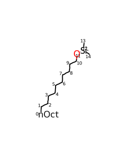 CCCCCCCCCCCCCCCCCCO[Si](C)C